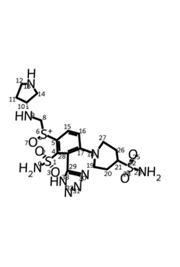 NS(=O)(=O)c1c([S+]([O-])CN[C@@H]2CCNC2)ccc(N2CCC(S(N)(=O)=O)CC2)c1-c1nnn[nH]1